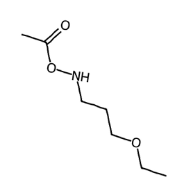 CCOCCCNOC(C)=O